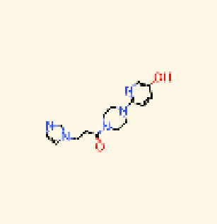 O=C(CCn1ccnc1)N1CCN(c2ccc(O)cn2)CC1